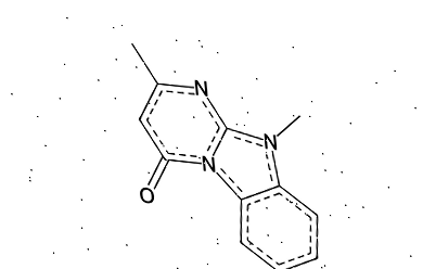 Cc1cc(=O)n2c3ccccc3n(C)c2n1